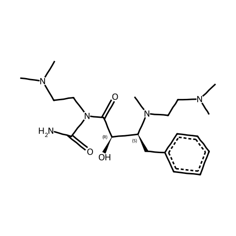 CN(C)CCN(C(N)=O)C(=O)[C@H](O)[C@H](Cc1ccccc1)N(C)CCN(C)C